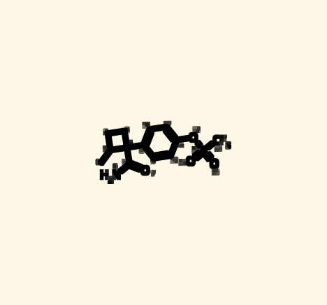 CC1CCC1(C(N)=O)c1ccc(OS(=O)(=O)C(F)(F)F)cc1